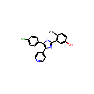 O=[N+]([O-])c1ccc(O)cc1-c1nc(-c2ccncc2)c(-c2ccc(Cl)cc2)[nH]1